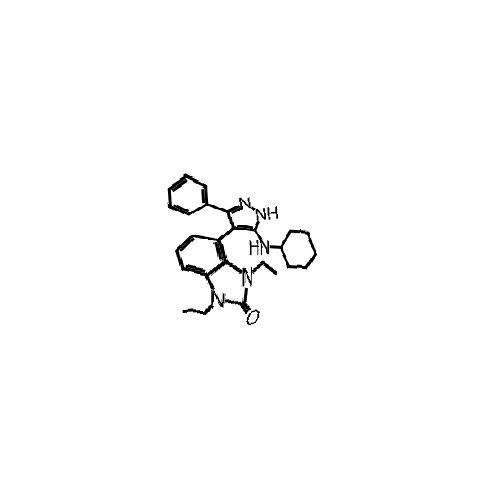 CCn1c(=O)n(CC)c2c(-c3c(-c4ccccc4)n[nH]c3NC3CCCCC3)cccc21